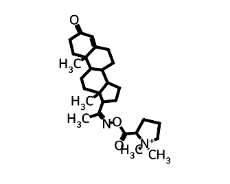 C/C(=N/OC(=O)C1CCC[N+]1(C)C)C1CCC2C3CCC4=CC(=O)CCC4(C)C3CCC12C